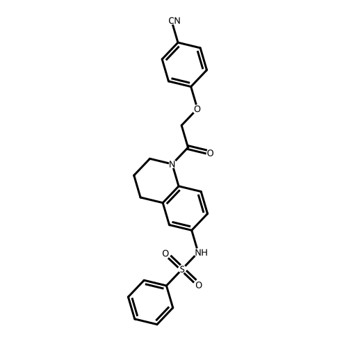 N#Cc1ccc(OCC(=O)N2CCCc3cc(NS(=O)(=O)c4ccccc4)ccc32)cc1